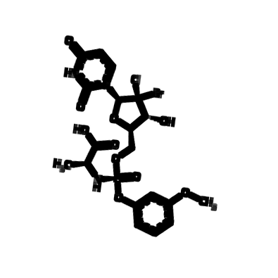 COc1cccc(O[P@](=O)(N[C@@H](C)C(=O)O)OC[C@H]2O[C@@H](n3ccc(=O)[nH]c3=O)[C@](Cl)(Br)[C@@H]2O)c1